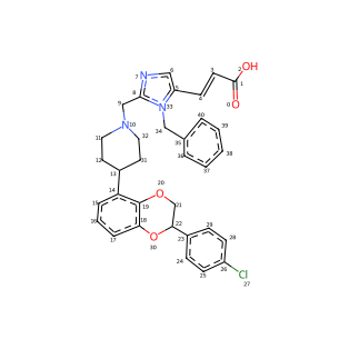 O=C(O)C=Cc1cnc(CN2CCC(c3cccc4c3OCC(c3ccc(Cl)cc3)O4)CC2)n1Cc1ccccc1